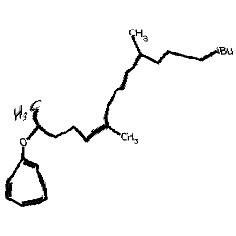 CCC(C)CCCC(C)CCCC(C)CCCC(C)Oc1ccccc1